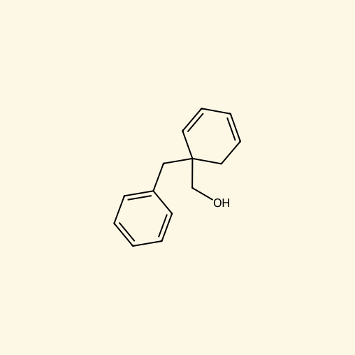 OCC1(Cc2ccccc2)C=CC=CC1